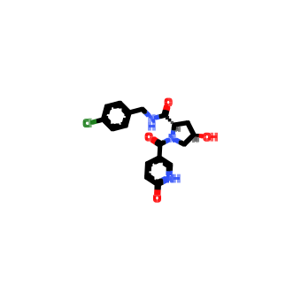 O=C(NCc1ccc(Cl)cc1)[C@@H]1C[C@@H](O)CN1C(=O)c1ccc(=O)[nH]c1